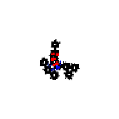 c1ccc(-c2ccc(-c3cccc(-n4c5ccccc5c5ccc6c7ccccc7n(-c7nc(-c8ccccc8)nc(-c8ccc(-c9ccccc9-c9ccccc9)cc8)n7)c6c54)c3)cc2)cc1